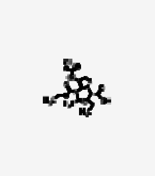 CCCC(C(=O)O)C1SCC(NC(=O)OC)=C1N(C(C)=O)C(=O)OCC